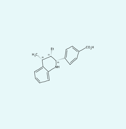 CC[C@H]1[C@@H](C)c2ccccc2N[C@H]1c1ccc(C(=O)O)cc1